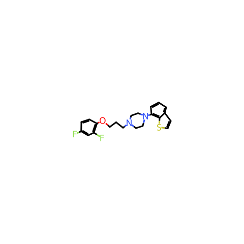 Fc1ccc(OCCCN2CCN(c3cccc4ccsc34)CC2)c(F)c1